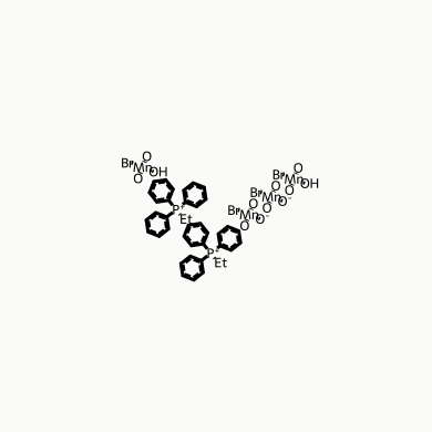 CC[P+](c1ccccc1)(c1ccccc1)c1ccccc1.CC[P+](c1ccccc1)(c1ccccc1)c1ccccc1.[O]=[Mn](=[O])([O-])[Br].[O]=[Mn](=[O])([O-])[Br].[O]=[Mn](=[O])([OH])[Br].[O]=[Mn](=[O])([OH])[Br]